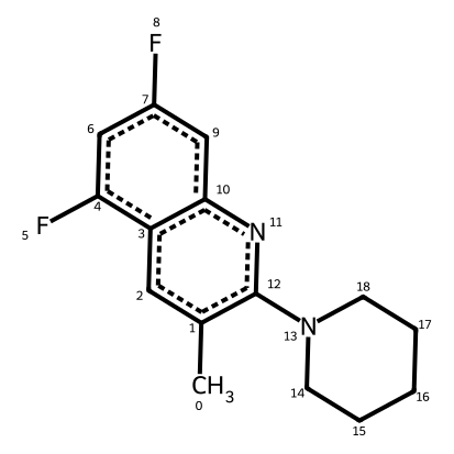 Cc1cc2c(F)cc(F)cc2nc1N1CCCCC1